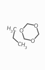 C1OCOCO1.CCC